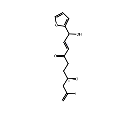 C=C(I)C[C@H](Cl)CCC(=O)/C=C/C(O)c1ccco1